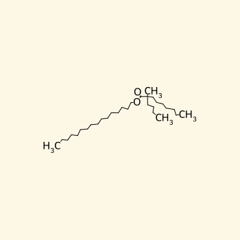 CCCCCCCCCCCCCCCCOC(=O)C(C)(CCCC)CCCCCCC